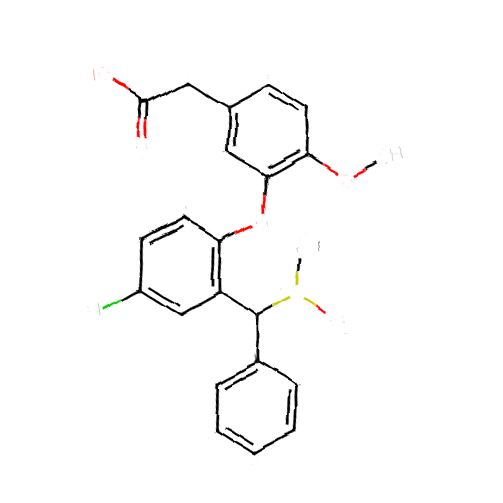 COc1ccc(CC(=O)O)cc1Oc1ccc(Cl)cc1C(c1ccccc1)[S+](C)[O-]